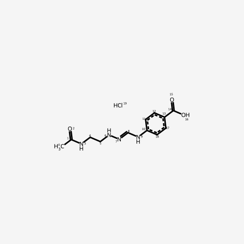 CC(=O)NCCNN=CNc1ccc(C(=O)O)cc1.Cl